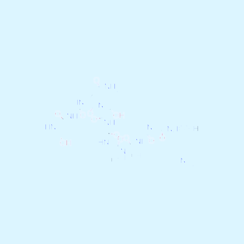 CC(C)C[C@H](NC(=O)CNC(=O)[C@H](CO)NC(=O)[C@H](CCC(N)=O)NC(=O)CNC(=O)[C@@H]1C[C@@H](O)CN1)C(=O)N[C@@H](C)C(=O)NCC(=O)N1CCC[C@H]1C(=O)N[C@@H](CCCCN)C(=O)O